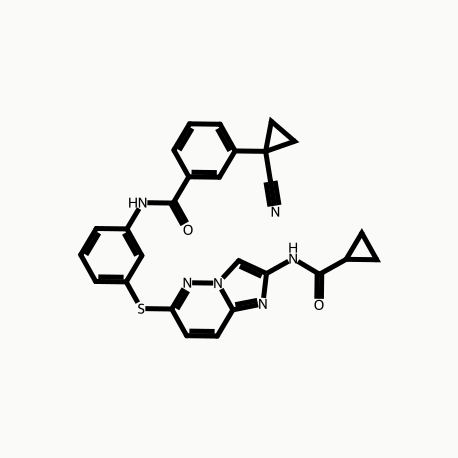 N#CC1(c2cccc(C(=O)Nc3cccc(Sc4ccc5nc(NC(=O)C6CC6)cn5n4)c3)c2)CC1